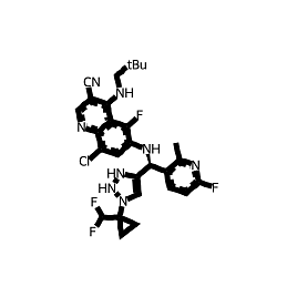 Cc1nc(F)ccc1[C@H](Nc1cc(Cl)c2ncc(C#N)c(NCC(C)(C)C)c2c1F)C1=CN(C2(C(F)F)CC2)NN1